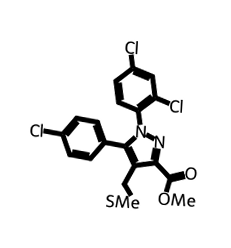 COC(=O)c1nn(-c2ccc(Cl)cc2Cl)c(-c2ccc(Cl)cc2)c1CSC